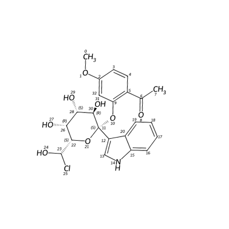 COc1ccc(C(C)=O)c(O[C@]2(c3c[nH]c4ccccc34)O[C@H](C(O)Cl)[C@H](O)[C@H](O)[C@H]2O)c1